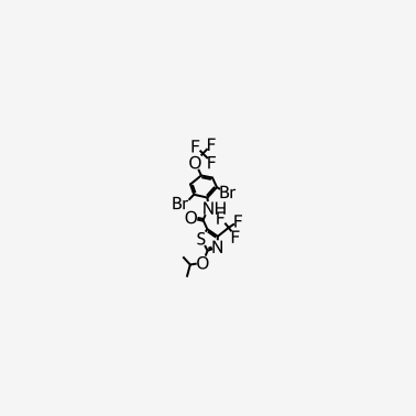 CC(C)Oc1nc(C(F)(F)F)c(C(=O)Nc2c(Br)cc(OC(F)(F)F)cc2Br)s1